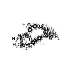 C=C(C)C(=O)OCC(O)COc1ccc(C(C)(C)c2ccc(OCC(O)COC(=O)C(=C)C)cc2)cc1.C=C(C)C(=O)OCC(O)COc1ccc(C(CC)c2ccc(OCC(O)COC(=O)C(=C)C)cc2)cc1